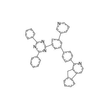 c1ccc(-c2nc(-c3ccccc3)nc(-c3cc(-c4ccc(-c5nccc6c5Cc5ccccc5-6)cc4)cc(-c4cccnc4)c3)n2)cc1